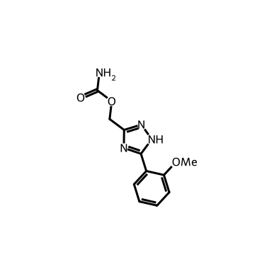 COc1ccccc1-c1nc(COC(N)=O)n[nH]1